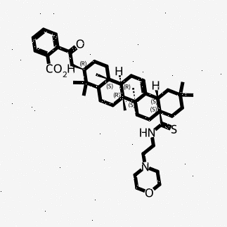 CC1(C)CC[C@]2(C(=S)NCCN3CCOCC3)CC[C@]3(C)C(=CC[C@@H]4[C@@]5(C)CC[C@H](CC(=O)c6ccccc6C(=O)O)C(C)(C)C5CC[C@]43C)[C@@H]2C1